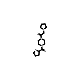 O=C(CN1CCCC1)N1CCN(C(=O)C2CCCO2)CC1